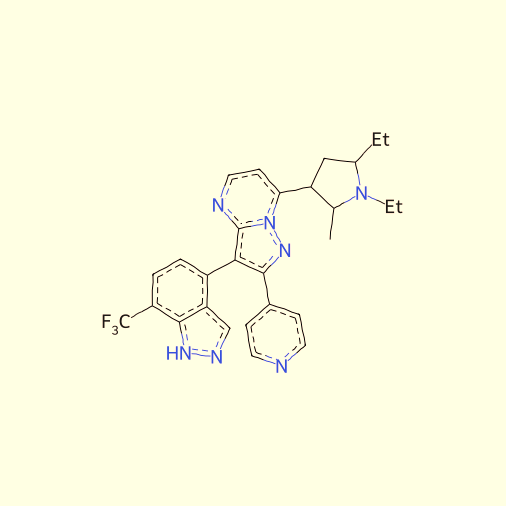 CCC1CC(c2ccnc3c(-c4ccc(C(F)(F)F)c5[nH]ncc45)c(-c4ccncc4)nn23)C(C)N1CC